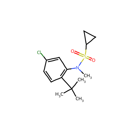 CN(c1cc(Cl)ccc1C(C)(C)C)S(=O)(=O)C1CC1